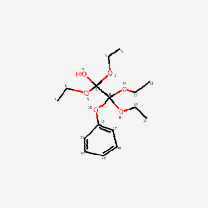 CCOC(O)(OCC)C(OCC)(OCC)Oc1ccccc1